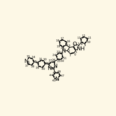 C1=CC2C(C3=C1NC(c1ccccc1)O3)c1ccccc1N2c1ccc(-c2cc(-c3ccc(-c4ccncc4)cc3)nc(-c3ccncc3)n2)cc1